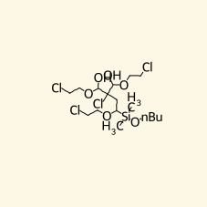 CCCCO[Si](C)(C)C(CC(Cl)(C(O)OCCCl)C(O)OCCCl)OCCCl